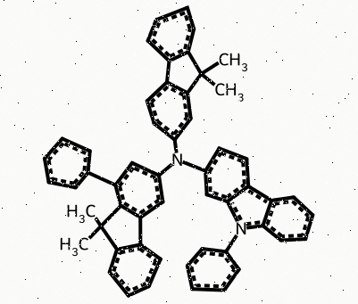 CC1(C)c2ccccc2-c2ccc(N(c3cc(-c4ccccc4)c4c(c3)-c3ccccc3C4(C)C)c3ccc4c5ccccc5n(-c5ccccc5)c4c3)cc21